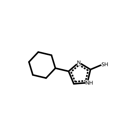 Sc1nc(C2CCCCC2)c[nH]1